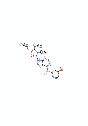 CC(=O)OC[C@H]1O[C@@H](n2cnc3c(C(=O)c4cccc(Br)c4)ncnc32)[C@H](OC(C)=O)[C@@H]1OC(C)=O